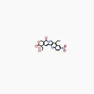 CCc1c2c(nc3ccc([N+](=O)[O-])cc13)-c1cc3c(c(=O)n1C2)COC(=O)[C@]3(O)CC